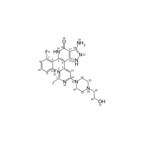 Cc1nc(-c2c(-c3c(F)cccc3F)[nH]c(=O)c3c(N)n[nH]c23)cc(N2CCN(CCO)CC2)n1